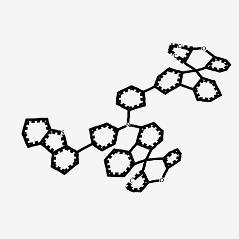 c1cc(-c2ccc3c(c2)-c2ccccc2C32c3ccccc3Oc3ccccc32)cc(N(c2ccc(-c3cccc4c3sc3ccccc34)cc2)c2cccc3c2-c2ccccc2C32c3ccccc3Oc3ccccc32)c1